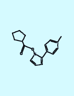 Cc1ccc(-c2cccn2OC(=O)C2CCCC2)cc1